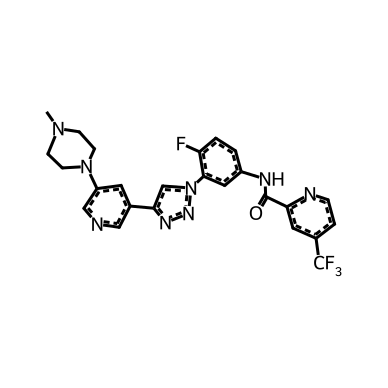 CN1CCN(c2cncc(-c3cn(-c4cc(NC(=O)c5cc(C(F)(F)F)ccn5)ccc4F)nn3)c2)CC1